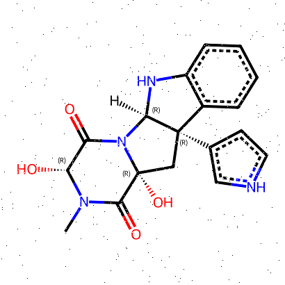 CN1C(=O)[C@]2(O)C[C@]3(c4cc[nH]c4)c4ccccc4N[C@@H]3N2C(=O)[C@H]1O